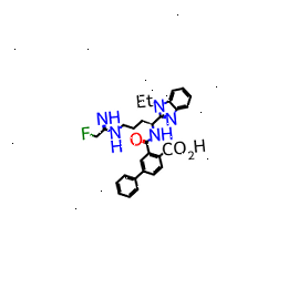 CCn1c([C@H](CCCNC(=N)CF)NC(=O)c2cc(-c3ccccc3)ccc2C(=O)O)nc2ccccc21